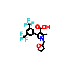 Cc1c(C(=O)O)c(-c2cc(C(F)(F)F)cc(C(F)(F)F)c2)cn1CC1CCCO1